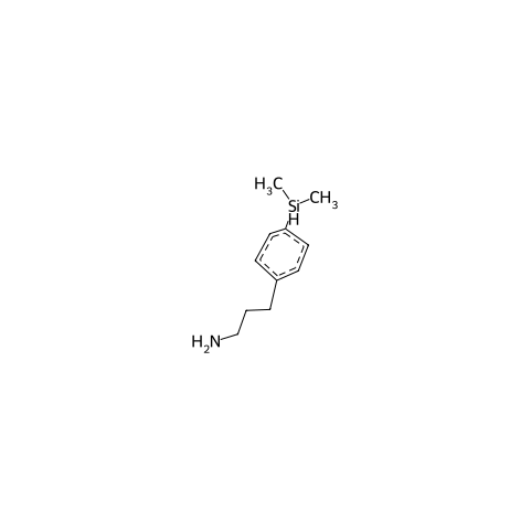 C[SiH](C)c1ccc(CCCN)cc1